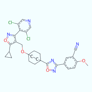 COc1ccc(-c2noc(C34CCC(OCc5c(-c6c(Cl)cncc6Cl)noc5C5CC5)(CC3)CC4)n2)cc1C#N